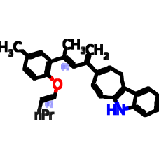 C=C(/C=C(\C)c1cc(C)ccc1O/C=C/CCC)C1=CCc2c([nH]c3ccccc23)C=C1